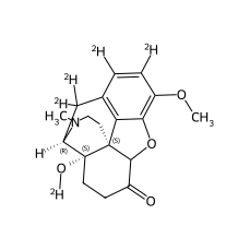 [2H]O[C@@]12CCC(=O)C3Oc4c(OC)c([2H])c([2H])c5c4[C@@]31CCN(C)[C@@H]2C5([2H])[2H]